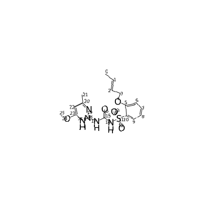 C/C=C/COc1ccccc1S(=O)(=O)NC(=O)NN1N=C(C)C=C(OC)N1